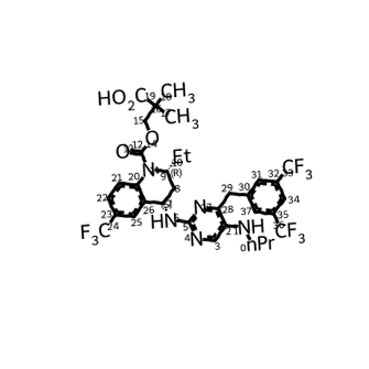 CCCNc1cnc(N[C@H]2C[C@@H](CC)N(C(=O)OCC(C)(C)C(=O)O)c3ccc(C(F)(F)F)cc32)nc1Cc1cc(C(F)(F)F)cc(C(F)(F)F)c1